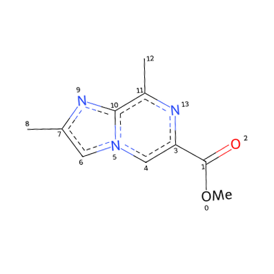 COC(=O)c1cn2cc(C)nc2c(C)n1